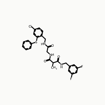 CC(C(=O)NCC(=O)NCc1ccc(Cl)cc1Sc1ccccc1)C(=O)NCc1cc(F)cc(F)c1